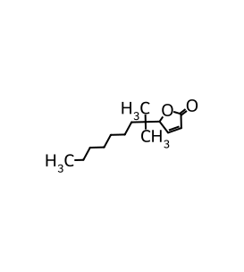 CCCCCCCC(C)(C)C1C=CC(=O)O1